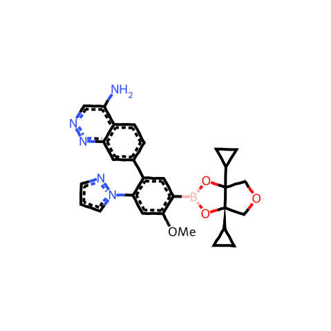 COc1cc(-n2cccn2)c(-c2ccc3c(N)cnnc3c2)cc1B1OC2(C3CC3)COC[C@]2(C2CC2)O1